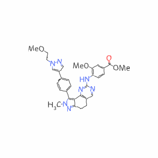 COCCn1cc(-c2ccc(-c3c4c(nn3C)CCc3cnc(Nc5ccc(C(=O)OC)cc5OC)nc3-4)cc2)cn1